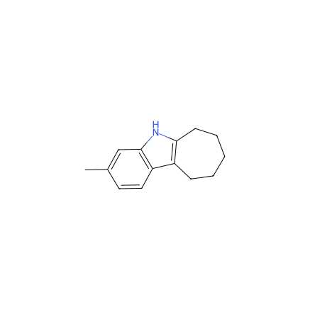 Cc1ccc2c3c([nH]c2c1)CCCCC3